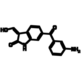 Nc1cccc(C(=O)c2ccc3c(c2)NC(=O)C3=CO)c1